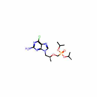 CC(C)OP(=O)(CO[C@@H](C)Cn1cnc2c(Cl)nc(N)nc21)OC(C)C